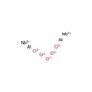 [Al].[Al].[Nb+5].[Nb+5].[O-2].[O-2].[O-2].[O-2].[O-2]